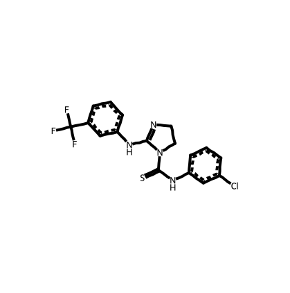 FC(F)(F)c1cccc(NC2=NCCN2C(=S)Nc2cccc(Cl)c2)c1